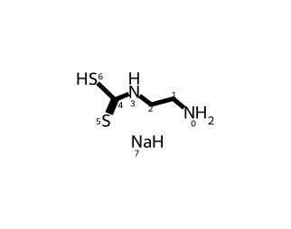 NCCNC(=S)S.[NaH]